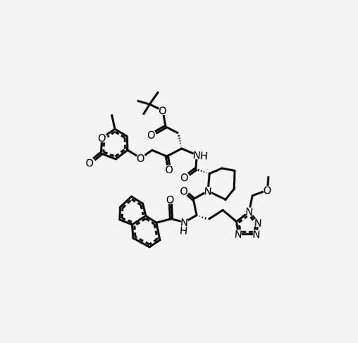 COCn1nnnc1CC[C@H](NC(=O)c1cccc2ccccc12)C(=O)N1CCCC[C@H]1C(=O)N[C@@H](CC(=O)OC(C)(C)C)C(=O)COc1cc(C)oc(=O)c1